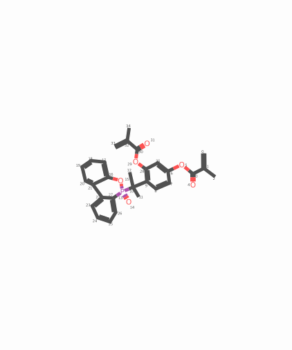 C=C(C)C(=O)Oc1ccc(C(C)(C)P2(=O)Oc3ccccc3-c3ccccc32)c(OC(=O)C(=C)C)c1